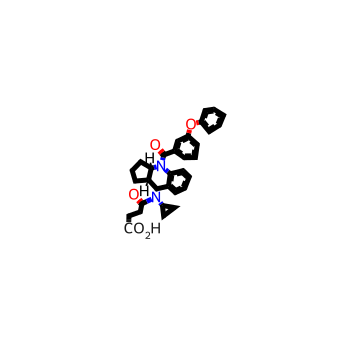 O=C(O)CCC(=O)N(C1CC1)[C@H]1c2ccccc2N(C(=O)c2cccc(Oc3ccccc3)c2)[C@@H]2CCC[C@@H]21